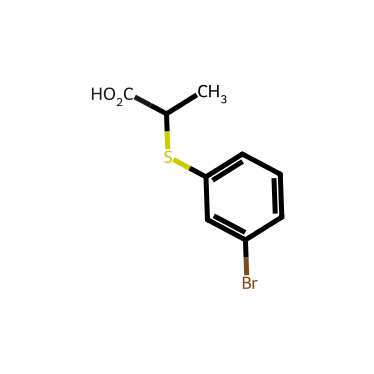 CC(Sc1cccc(Br)c1)C(=O)O